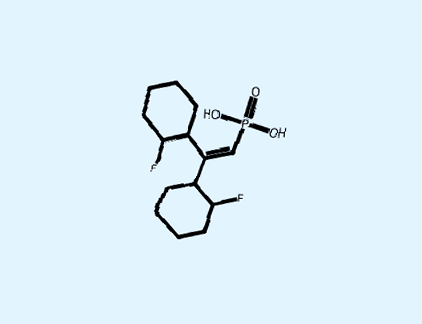 O=P(O)(O)C=C(C1CCCCC1F)C1CCCCC1F